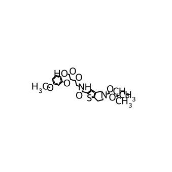 COc1cccc(OC(C(=O)O)C(=O)CNC(=O)c2cc3c(s2)CCN(C(=O)OC(C)(C)C)C3)c1